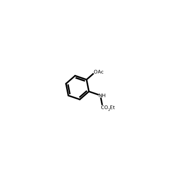 CCOC(=O)Nc1ccccc1OC(C)=O